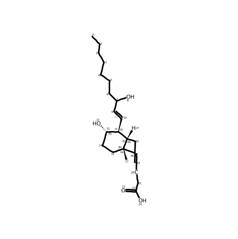 CCCCCCCC(O)/C=C/[C@@H]1[C@@H](O)CC[C@@]2(C)C(=CCCC(=O)O)C[C@@H]12